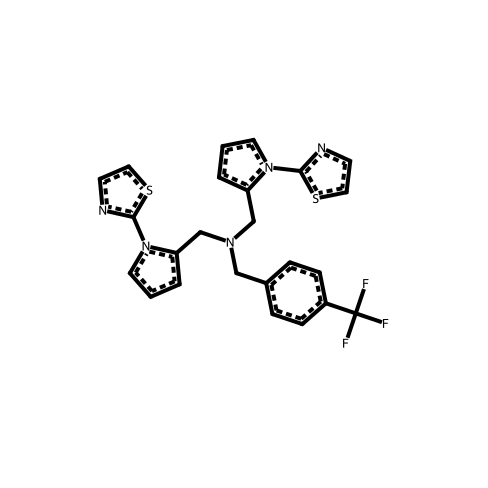 FC(F)(F)c1ccc(CN(Cc2cccn2-c2nccs2)Cc2cccn2-c2nccs2)cc1